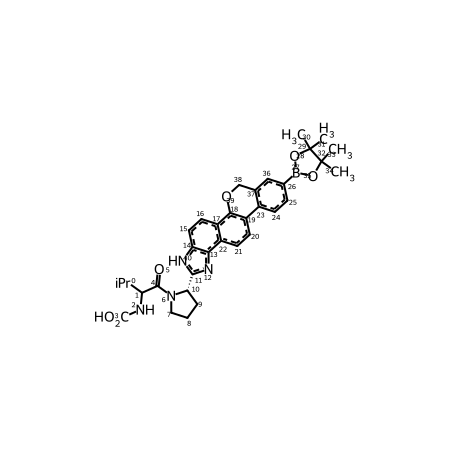 CC(C)C(NC(=O)O)C(=O)N1CCC[C@H]1c1nc2c(ccc3c4c(ccc32)-c2ccc(B3OC(C)(C)C(C)(C)O3)cc2CO4)[nH]1